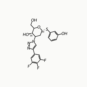 OCC1O[C@H](Sc2cccc(O)c2)CC(n2cc(-c3cc(F)c(F)c(F)c3)nn2)[C@H]1O